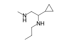 CCCNC(CNC)C1CC1